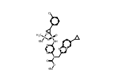 CC(C)(C)OC(=O)N(Cc1cn2cc(C3CC3)ccc2n1)c1cc(NS(=O)(=N[Si](C)(C)C(C)(C)C)C2CC2c2cccc(Cl)c2)ncn1